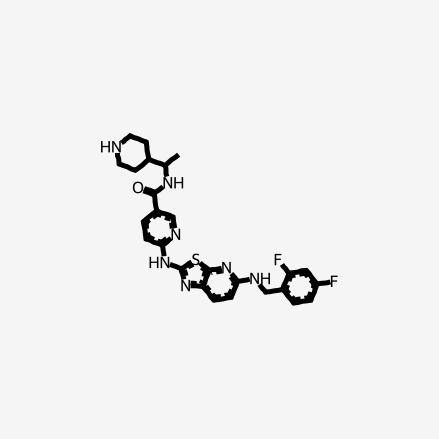 CC(NC(=O)c1ccc(Nc2nc3ccc(NCc4ccc(F)cc4F)nc3s2)nc1)C1CCNCC1